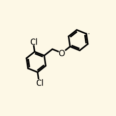 Clc1ccc(Cl)c(COc2cc[c]cc2)c1